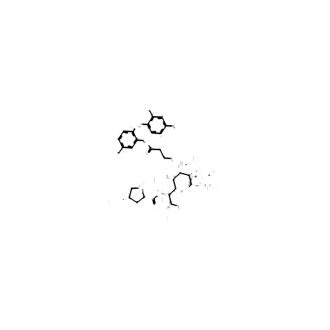 CC(C)=O.CCC[C@@H]1C[C@@H](C(=O)N[C@@H]([C@H]2O[C@H](SC)[C@H](O)[C@@H](O)[C@H]2O)[C@H](C)Cl)N(C)C1.O=C(O)CCC(=O)Oc1cc(Cl)ccc1Oc1ccc(Cl)cc1Cl